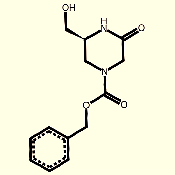 O=C1CN(C(=O)OCc2ccccc2)C[C@@H](CO)N1